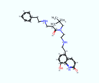 CC(C)(C)CN(CCNCCc1ccc(O)c2[nH]c(=O)ccc12)C(=O)CCNCCc1ccccc1